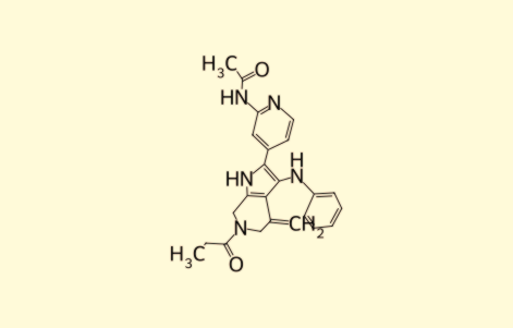 C=C1CN(C(=O)CC)Cc2[nH]c(-c3ccnc(NC(C)=O)c3)c(Nc3ccccc3)c21